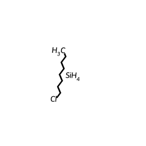 CCCCCCCCCl.[SiH4]